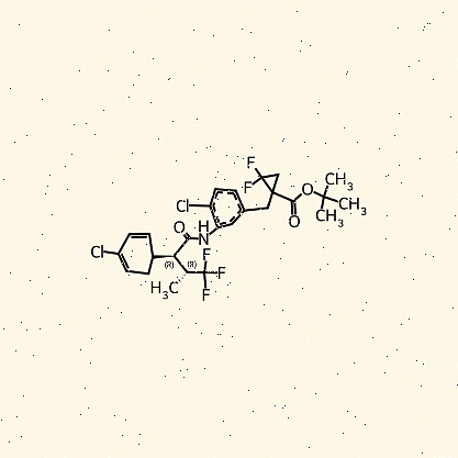 C[C@H]([C@H](C(=O)Nc1cc(CC2(C(=O)OC(C)(C)C)CC2(F)F)ccc1Cl)C1C=CC(Cl)=CC1)C(F)(F)F